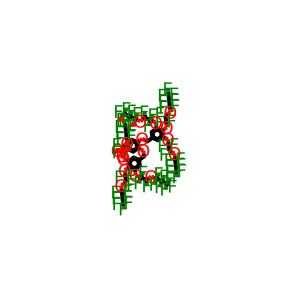 COC(=O)c1ccc(OCc2cc(OC(F)(F)C(F)OC(F)(F)C(F)(F)C(F)(F)F)c(OC(F)(F)C(F)OC(F)(F)C(F)(F)C(F)(F)F)c(OC(F)(F)C(F)OC(F)(F)C(F)(F)C(F)(F)F)c2)c(OCc2cc(OC(F)(F)C(F)OC(F)(F)C(F)(F)C(F)(F)F)c(OC(F)(F)C(F)OC(F)(F)C(F)(F)C(F)(F)F)c(OC(F)(F)C(F)OC(F)(F)C(F)(F)C(F)(F)F)c2)c1